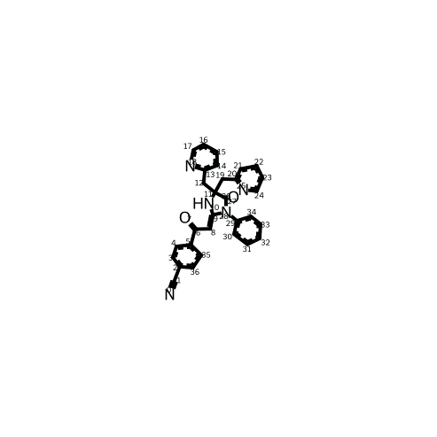 N#Cc1ccc(C(=O)C=C2NC(Cc3ccccn3)(Cc3ccccn3)C(=O)N2c2ccccc2)cc1